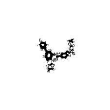 CC(C)(C)OC(=O)N=S(C)(=O)c1cc2cc(C(=O)Nc3cc(-c4ccc(F)cc4)ccc3NC(=O)OC(C)(C)C)ccc2o1